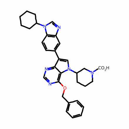 O=C(O)N1CCCC(n2cc(-c3ccc4c(c3)ncn4C3CCCCC3)c3ncnc(OCc4ccccc4)c32)C1